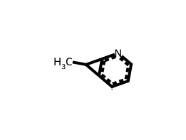 CC1c2[c]ccnc21